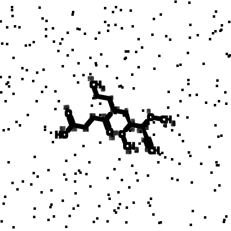 C#C[C@H](OC)[C@H](CN(CCC)C(=O)CCC(=O)O)OC